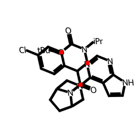 CC(C)N(CC(C(=O)N1C2CCC1CN(c1ncnc3[nH]ccc13)C2)c1ccc(Cl)cc1)C(=O)OC(C)(C)C